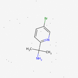 CC(C)(N)c1ccc(Br)cn1